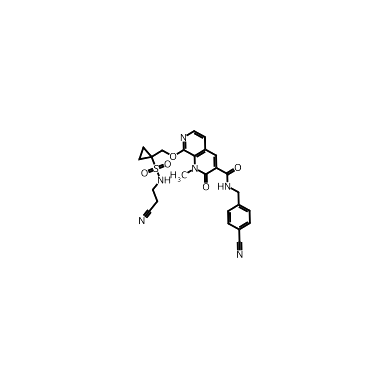 Cn1c(=O)c(C(=O)NCc2ccc(C#N)cc2)cc2ccnc(OCC3(S(=O)(=O)NCCC#N)CC3)c21